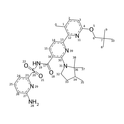 Cc1ccc(OCC(C)(C)C)nc1-c1ccc(C(=O)NS(=O)(=O)c2cccc(N)n2)c(N2CCC(C)C2(C)C)n1